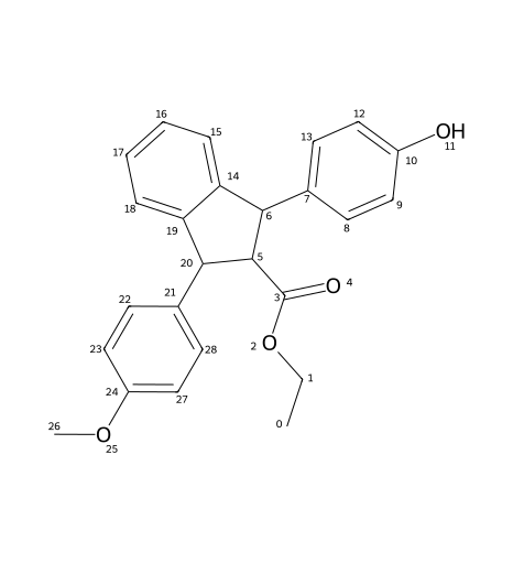 CCOC(=O)C1C(c2ccc(O)cc2)c2ccccc2C1c1ccc(OC)cc1